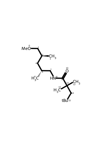 COC[C@@H](C)C[C@@H](C)CNC(=O)C(C)(C)CC(C)(C)C